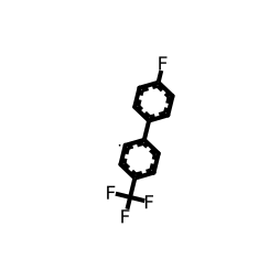 Fc1ccc(-c2[c]cc(C(F)(F)F)cc2)cc1